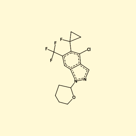 FC(F)(F)c1cc2c(cnn2C2CCCCO2)c(Cl)c1C1(F)CC1